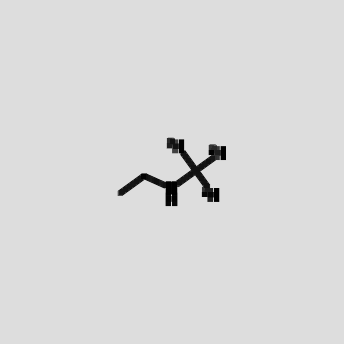 [2H]C([2H])([2H])NCC